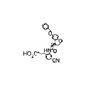 N#Cc1ccc(CCCC(=O)O)c(NC(=O)[C@@H]2C[C@]23CCOc2ccc(OCc4ccccc4)cc23)c1